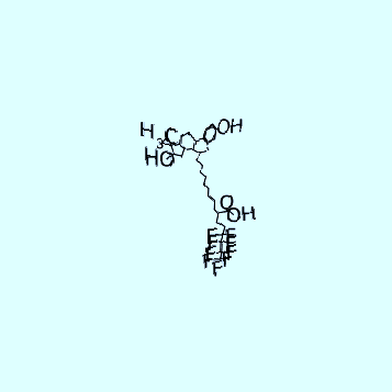 C[C@]12CCC3c4ccc(O)cc4C[C@@H](CCCCCCCCCC(CCC(F)(F)C(F)(F)C(F)(F)C(F)(F)F)C(=O)O)C3C1C[C@@H](O)C21CC1